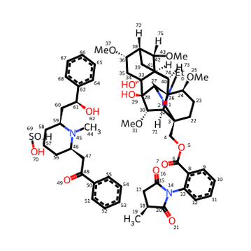 CCN1C[C@]2(COC(=O)c3ccccc3N3C(=O)C[C@H](C)C3=O)CC[C@H](OC)[C@]34C1[C@](O)([C@@H](OC)[C@H]23)[C@@]1(O)C[C@H](OC)[C@H]2C[C@@H]4[C@@H]1[C@H]2OC.CN1[C@@H](CC(=O)c2ccccc2)CCC[C@H]1C[C@H](O)c1ccccc1.O=S(=O)(O)O